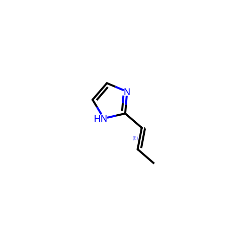 C/C=[C]/c1ncc[nH]1